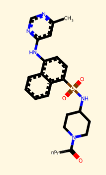 CCCC(=O)N1CCC(NS(=O)(=O)c2ccc(Nc3cc(C)ncn3)c3ccccc23)CC1